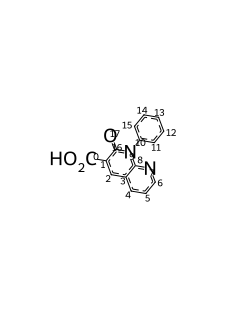 O=C(O)c1cc2cccnc2n(-c2ccccc2)c1=O